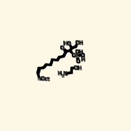 CCCCCCCC/C=C\CCCCCCCC(=O)C(OP(=O)(O)O)C(O)CO.NCCO